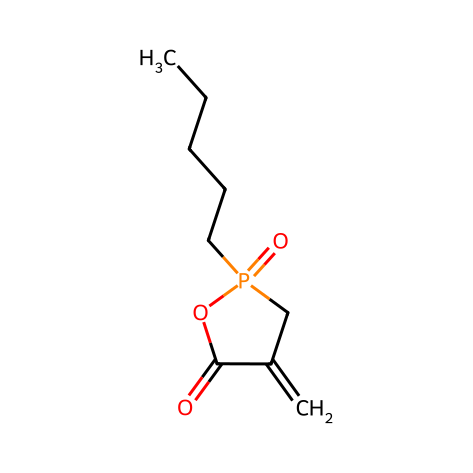 C=C1CP(=O)(CCCCC)OC1=O